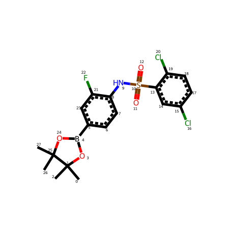 CC1(C)OB(c2ccc(NS(=O)(=O)c3cc(Cl)ccc3Cl)c(F)c2)OC1(C)C